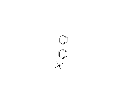 C[N+](C)(C)Cc1ccc(-c2ccccc2)cc1